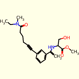 C=C(NC(CO)C(=O)OC)c1cccc(C#CCCCC(=O)N(C)CC)c1